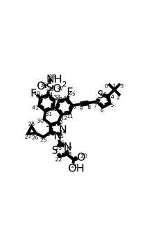 CC(C)(C)c1ccc(C#Cc2cc(-c3nn(-c4nc(C(=O)O)cs4)c(CC4CC4)c3Cc3ccc(S(N)(=O)=O)c(F)c3)ccc2F)s1